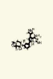 CC(=O)N1CCN(c2cccc(-c3cc(-c4cnn(C)c4)c(/C(N)=N\C=N)[nH]3)c2F)C(=O)C1(C)C